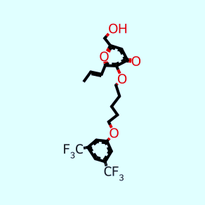 C/C=C/c1oc(CO)cc(=O)c1OCCCCCOc1cc(C(F)(F)F)cc(C(F)(F)F)c1